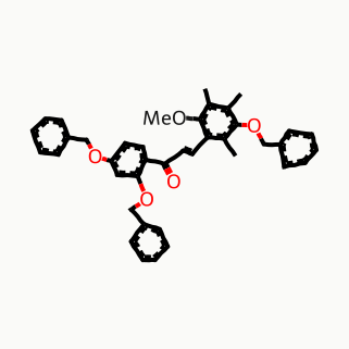 COc1c(C)c(C)c(OCc2ccccc2)c(C)c1C=CC(=O)c1ccc(OCc2ccccc2)cc1OCc1ccccc1